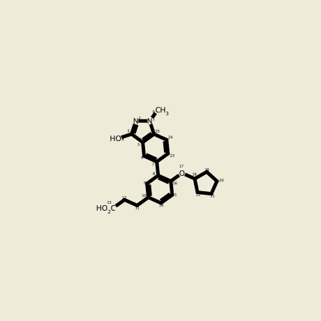 Cn1nc(O)c2cc(-c3cc(CCC(=O)O)ccc3OC3CCCC3)ccc21